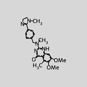 COc1cc2[nH]c(N(C)Cc3ccc(C4=NCCN4C)cc3)nc(=O)c2c(C)c1OC